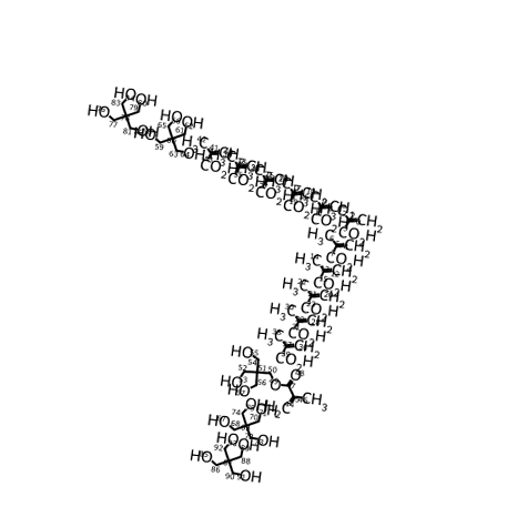 C=C(C)C(=O)O.C=C(C)C(=O)O.C=C(C)C(=O)O.C=C(C)C(=O)O.C=C(C)C(=O)O.C=C(C)C(=O)O.C=C(C)C(=O)O.C=C(C)C(=O)O.C=C(C)C(=O)O.C=C(C)C(=O)O.C=C(C)C(=O)O.C=C(C)C(=O)OCC(CO)(CO)CO.OCC(CO)(CO)CO.OCC(CO)(CO)CO.OCC(CO)(CO)CO.OCC(CO)(CO)CO